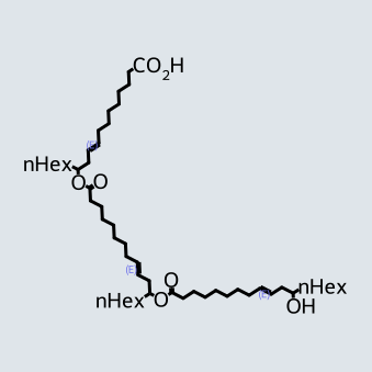 CCCCCCC(O)C/C=C/CCCCCCCC(=O)OC(C/C=C/CCCCCCCC(=O)OC(C/C=C/CCCCCCCC(=O)O)CCCCCC)CCCCCC